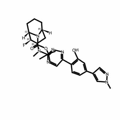 CN(c1ncc(-c2ccc(-c3cnn(C)c3)cc2O)nn1)[C@@H]1C[C@H]2CCC[C@@H]([C@@H]1F)N2C(=O)OC(C)(C)C